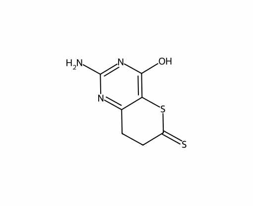 Nc1nc(O)c2c(n1)CCC(=S)S2